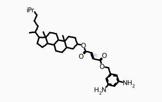 CC(C)CCCC(C)C1CCC2C3CCC4CC(OC(=O)/C=C/C(=O)OCc5cc(N)cc(N)c5)CCC4(C)C3CCC12C